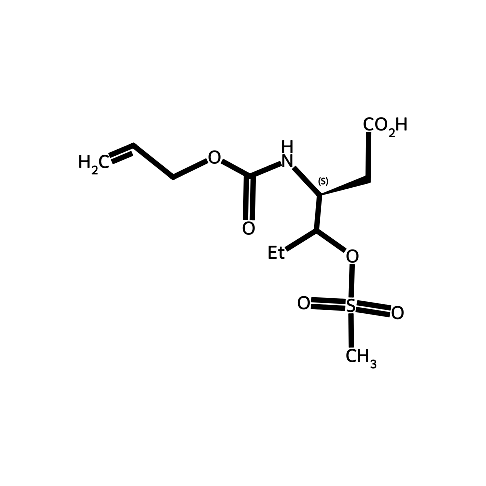 C=CCOC(=O)N[C@@H](CC(=O)O)C(CC)OS(C)(=O)=O